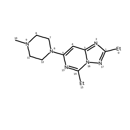 CCc1nc2cc(N3CCN(C)CC3)nc(CC)n2n1